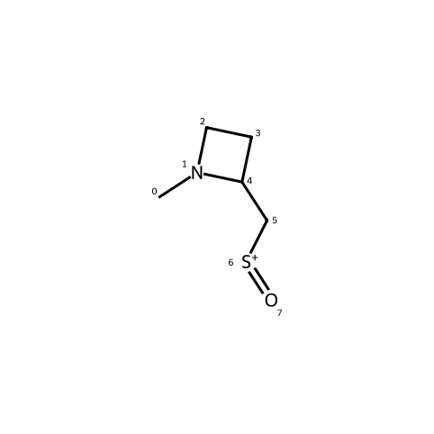 CN1CCC1C[S+]=O